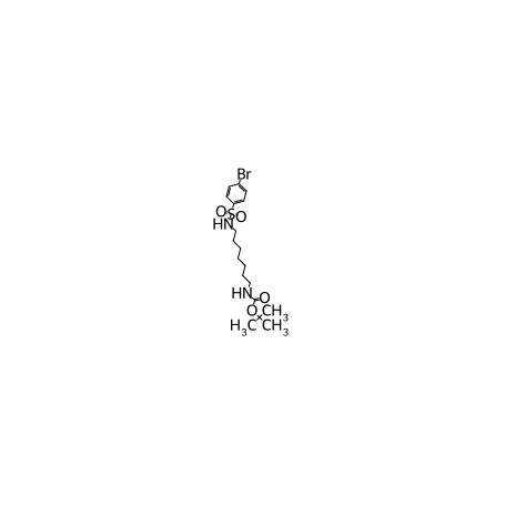 CC(C)(C)OC(=O)NCCCCCCCNS(=O)(=O)c1ccc(Br)cc1